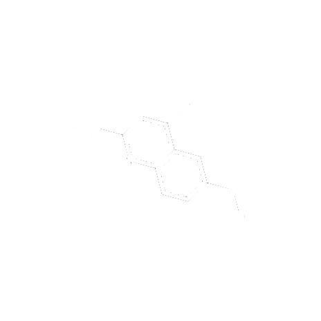 CCOc1ccc2nc(C(=O)O)cc(O)c2c1